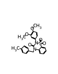 COc1ccc(N2C(=O)N(Cc3ccc(C)cc3)c3ccccc3S2(=O)=O)cc1OC